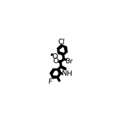 COc1cc(Cl)ccc1C(Br)C(=O)c1c[nH]c2c(C)c(F)ccc12